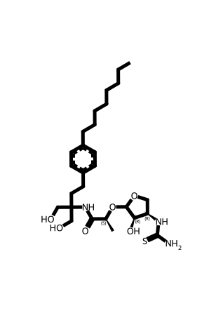 CCCCCCCCc1ccc(CCC(CO)(CO)NC(=O)[C@H](C)OC2OC[C@@H](NC(N)=S)[C@H]2O)cc1